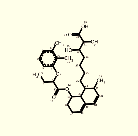 CCC(Oc1cccc(C)c1C)C(=O)OC1CCC=C2C=CC(C)C(CCCCC(O)C(O)C(=O)O)C21